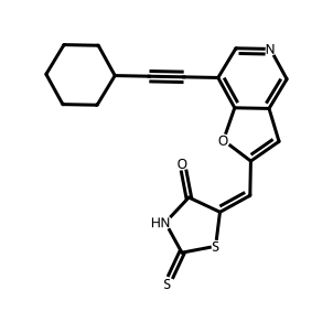 O=C1NC(=S)SC1=Cc1cc2cncc(C#CC3CCCCC3)c2o1